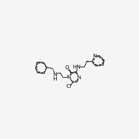 O=c1c(NCCc2ccccn2)ncc(Cl)n1CCNCc1ccccc1